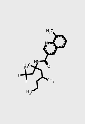 CCCC(C)CC(C)(CC(F)(F)F)NC(=O)c1cnc2c(C)cccc2c1